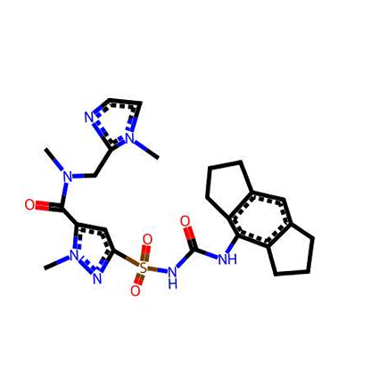 CN(Cc1nccn1C)C(=O)c1cc(S(=O)(=O)NC(=O)Nc2c3c(cc4c2CCC4)CCC3)nn1C